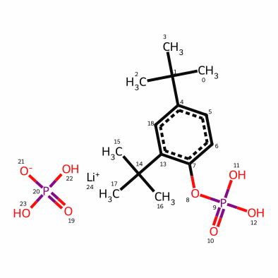 CC(C)(C)c1ccc(OP(=O)(O)O)c(C(C)(C)C)c1.O=P([O-])(O)O.[Li+]